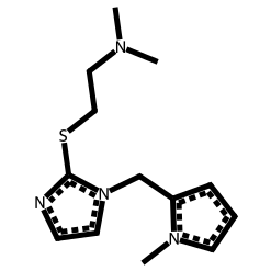 CN(C)CCSc1nccn1Cc1cccn1C